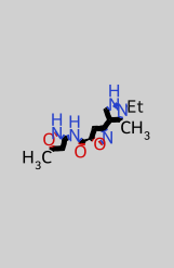 CCN1NCC(C2=NO[C@@H](C(=O)NC3CC(C)ON3)C2)C1C